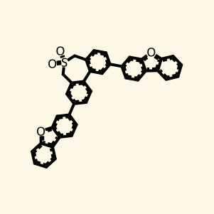 O=S1(=O)Cc2cc(-c3ccc4c(c3)oc3ccccc34)ccc2-c2cc(-c3ccc4c(c3)oc3ccccc34)ccc2C1